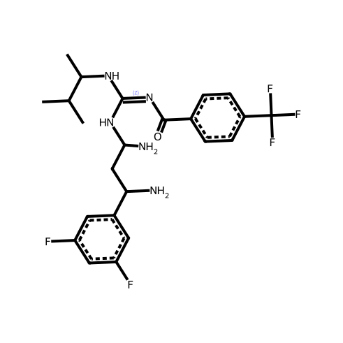 CC(C)C(C)N/C(=N/C(=O)c1ccc(C(F)(F)F)cc1)NC(N)CC(N)c1cc(F)cc(F)c1